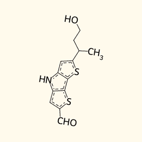 CC(CCO)c1cc2[nH]c3cc(C=O)sc3c2s1